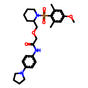 COc1cc(C)c(S(=O)(=O)N2CCCCC2COCC(=O)Nc2ccc(N3CCCC3)cc2)c(C)c1